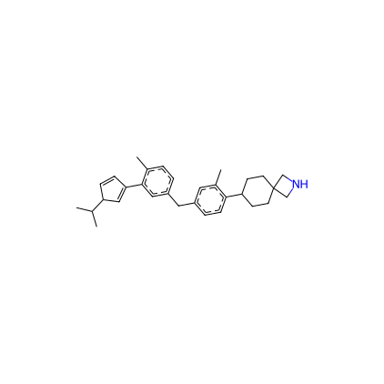 Cc1ccc(Cc2ccc(C3CCC4(CC3)CNC4)c(C)c2)cc1C1=CC(C(C)C)C=C1